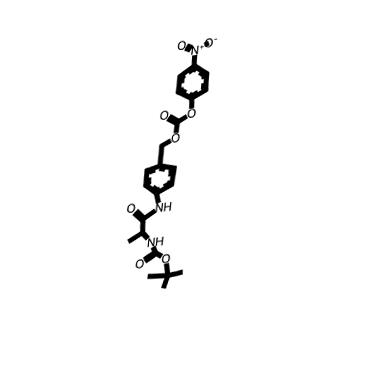 CC(NC(=O)OC(C)(C)C)C(=O)Nc1ccc(COC(=O)Oc2ccc([N+](=O)[O-])cc2)cc1